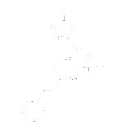 CC(C)(C)[C@H](NC(=O)CCc1ccccc1)C(=O)Nc1n[nH]c(=S)s1